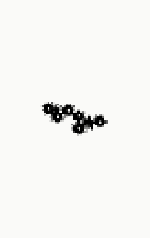 c1ccc(-c2cn3c4ccc(-c5cccc(-c6cccc7c6sc6ccccc67)c5)cc4c4ccccc4c3n2)cc1